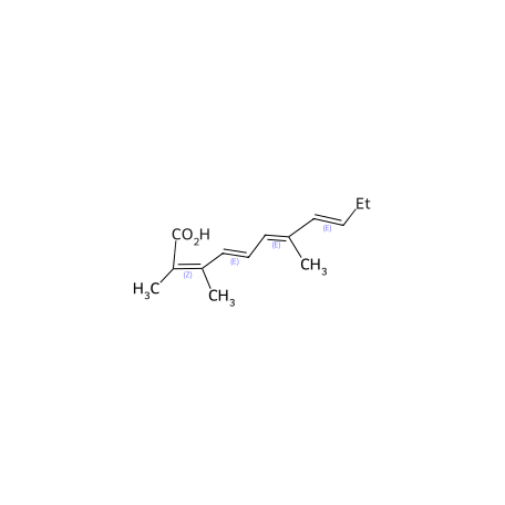 CC/C=C/C(C)=C/C=C/C(C)=C(/C)C(=O)O